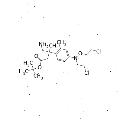 Cc1cc(N(CCCl)OCCCl)ccc1C(C)(CN)CC(=O)OC(C)(C)C